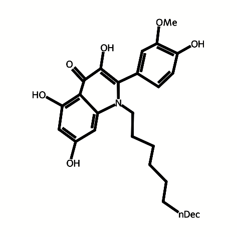 CCCCCCCCCCCCCCCCn1c(-c2ccc(O)c(OC)c2)c(O)c(=O)c2c(O)cc(O)cc21